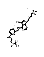 CN(CCN(C)c1cccc(CNc2ncnc3c2c(Br)cn3COCC[Si](C)(C)C)n1)C(=O)O